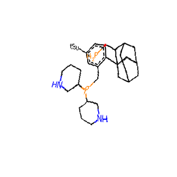 CC(C)(C)c1ccc(C23CC4CC(CC(C4)C2CP)C3)c(CP(C2CCCNC2)C2CCCNC2)c1